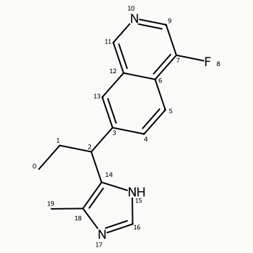 CCC(c1ccc2c(F)cncc2c1)c1[nH]cnc1C